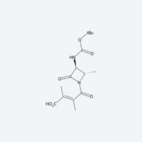 CC(C(=O)O)=C(C)C(=O)N1C(=O)[C@@H](NC(=O)OC(C)(C)C)[C@@H]1C